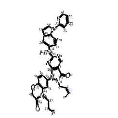 C/C=C\Cn1c(=O)c2cnc(Nc3ccc4c(ccn4-c4ccccn4)c3)nc2n1-c1ccc2c(c1)N(CCC)C(=O)CO2